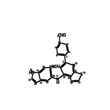 N#Cc1c(-c2ccc(C=O)cc2)nc2sccc2c1Nc1ccc2[nH]ccc2c1